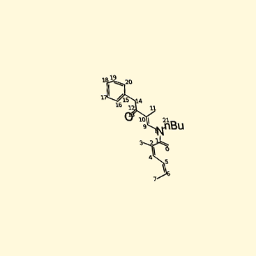 C=C(/C(C)=C\C=C/C)N(/C=C(\C)C(=O)Cc1ccccc1)CCCC